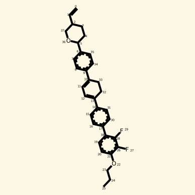 C=CC1CCC(c2ccc(C3=CC=C(c4ccc(-c5ccc(OCCC)c(F)c5F)cc4)CC3)cc2)OC1